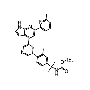 Cc1cccc(-c2cc(-c3cncc(-c4ccc(C(C)(C)NC(=O)OC(C)(C)C)cc4C)c3)c3cc[nH]c3n2)n1